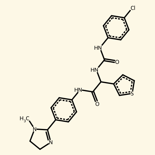 CN1CCN=C1c1ccc(NC(=O)C(NC(=O)Nc2ccc(Cl)cc2)c2ccsc2)cc1